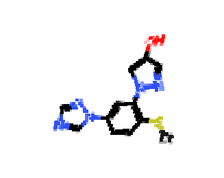 CCSc1ccc(-n2cncn2)cc1-n1cc(O)cn1